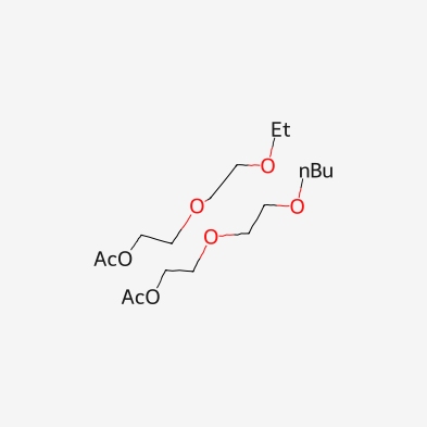 CCCCOCCOCCOC(C)=O.CCOCCOCCOC(C)=O